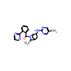 Cc1cnc(NC2CC3CC2N(C(=O)c2ccccc2-c2ncccn2)C3C)nc1